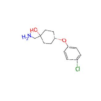 NCC1(O)CCC(Oc2ccc(Cl)cc2)CC1